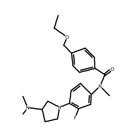 CCOCc1ccc(C(=O)N(C)c2ccc(N3CCC(N(C)C)C3)c(F)c2)cc1